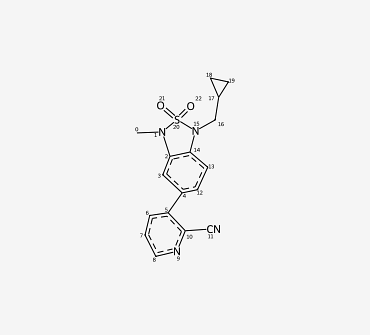 CN1c2cc(-c3cccnc3C#N)ccc2N(CC2CC2)S1(=O)=O